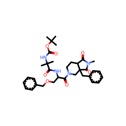 CN1C(=O)C2CCN(C(=O)C(COCc3ccccc3)NC(=O)C(C)(C)NC(=O)OC(C)(C)C)CC2(Cc2ccccc2)C1=O